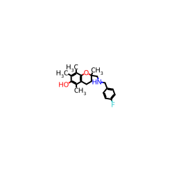 Cc1c(C)c2c(c(C)c1O)CCC(C)(CNCc1ccc(F)cc1)O2